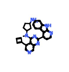 CN(c1nc(-c2ccnc3[nH]c4ccccc4c23)nc2cncc(C3=CC=C3)c12)C1CCC(N)C1